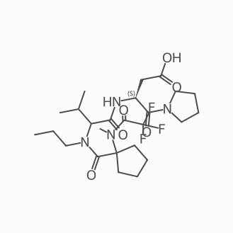 CCCN(C(=O)C1(N(C)C(=O)C(F)(F)F)CCCC1)C(C(=O)N[C@@H](CC(=O)O)C(=O)N1CCCC1)C(C)C